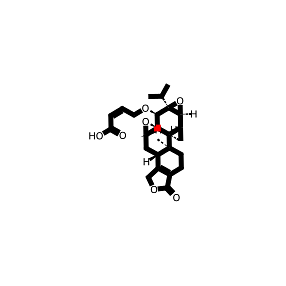 CC(C)[C@]12O[C@H]1[C@@H]1C[C@]13[C@]1(O[C@H]1C[C@H]1C4=C(CC[C@@]13C)C(=O)OC4)[C@@H]2OC/C=C\C(=O)O